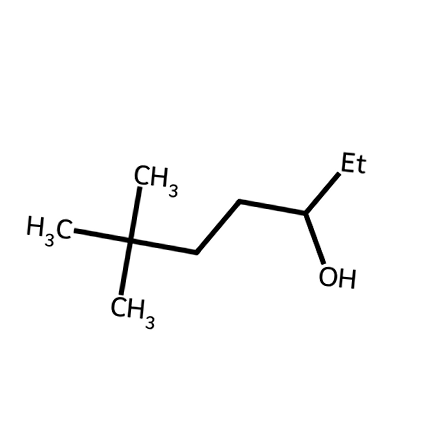 CCC(O)CCC(C)(C)C